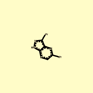 CC(C)c1cnc2[nH]nc(C(C)C)c2n1